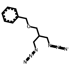 [N-]=[N+]=NCC(CN=[N+]=[N-])COCc1ccccc1